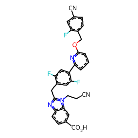 N#CCCn1c(Cc2cc(F)c(-c3cccc(OCc4ccc(C#N)cc4F)n3)cc2F)nc2ccc(C(=O)O)cc21